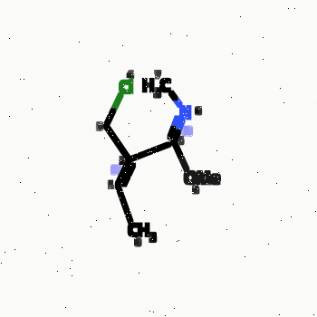 C/C=C(CCl)\C(=N/C)OC